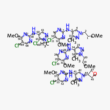 COCCn1cc(Nc2ncc(Cl)c(OC)n2)c(C)n1.COCCn1ncc(Nc2ncc(Cl)c(OC)n2)c1C.COc1nc(Nc2cn(C3COC3)nc2C)ncc1Cl.COc1nc(Nc2cnn(C)c2Cl)ncc1Cl